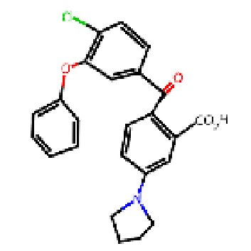 O=C(O)c1cc(N2CCCC2)ccc1C(=O)c1ccc(Cl)c(Oc2ccccc2)c1